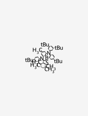 Cc1cc2c3c(c1)N(c1ccc(C(C)(C)C)cc1)c1c(sc4c1C(C)(C)CCC4(C)C)B3c1cc(C(C)(C)C)ccc1N2c1cc(C(C)(C)C)cc(C(C)(C)C)c1